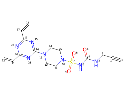 C#CCNC(=O)NS(=O)(=O)N1CCN(c2nc(C=C)nc(C=C)n2)CC1